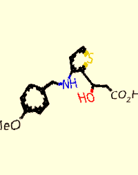 COc1ccc(CNc2ccsc2C(O)CC(=O)O)cc1